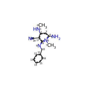 CNc1cc(N)n(C)/c(=N\Cc2ccccc2)c1C#N